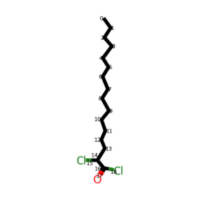 CCCCCCCCCCCCCCC(Cl)C(=O)Cl